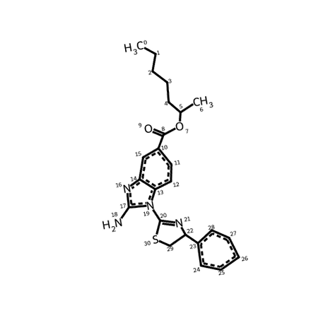 CCCCCC(C)OC(=O)c1ccc2c(c1)nc(N)n2C1=NC(c2ccccc2)CS1